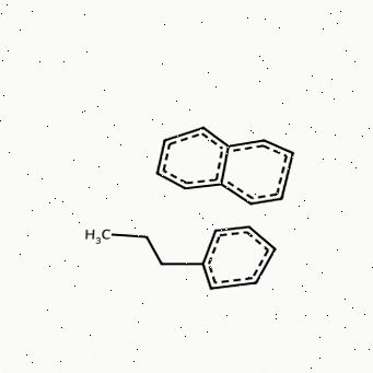 CCCc1ccccc1.c1ccc2ccccc2c1